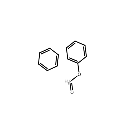 O=[PH2]Oc1ccccc1.c1ccccc1